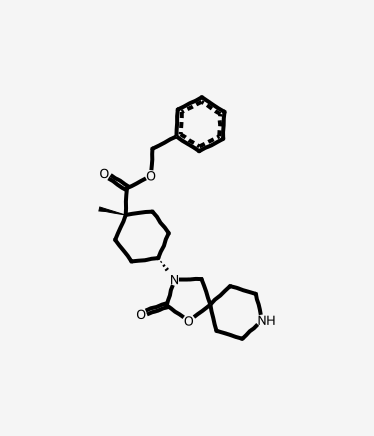 C[C@]1(C(=O)OCc2ccccc2)CC[C@@H](N2CC3(CCNCC3)OC2=O)CC1